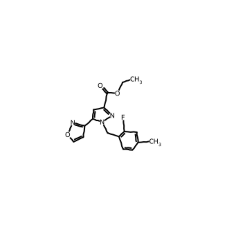 CCOC(=O)c1cc(-c2ccon2)n(Cc2ccc(C)cc2F)n1